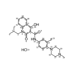 CC(C)Cn1c(=O)c(C(=O)Nc2ccc(N3CCN(C)CC3)c(F)c2)c(O)c2ccccc21.Cl